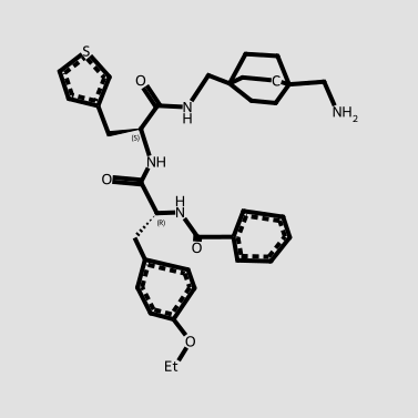 CCOc1ccc(C[C@@H](NC(=O)c2ccccc2)C(=O)N[C@@H](Cc2ccsc2)C(=O)NCC23CCC(CN)(CC2)CC3)cc1